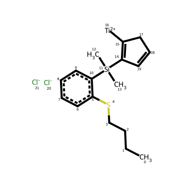 CCCCSc1ccccc1[Si](C)(C)C1=[C]([Ti+2])CC=C1.[Cl-].[Cl-]